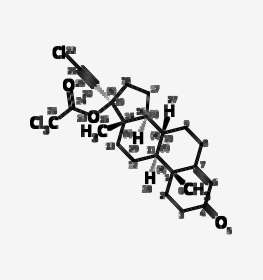 C[C@]12CCC(=O)C=C1CC[C@@H]1[C@@H]2CC[C@@]2(C)[C@H]1CC[C@]2(C#CCl)OC(=O)C(Cl)(Cl)Cl